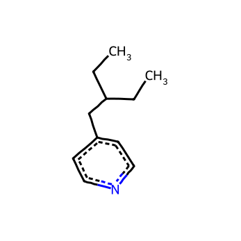 CCC(CC)Cc1ccncc1